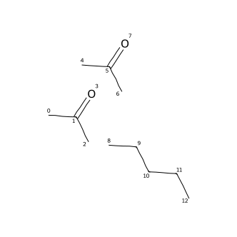 CC(C)=O.CC(C)=O.CCCCC